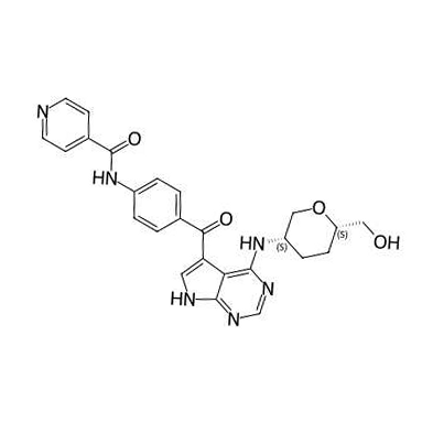 O=C(Nc1ccc(C(=O)c2c[nH]c3ncnc(N[C@H]4CC[C@@H](CO)OC4)c23)cc1)c1ccncc1